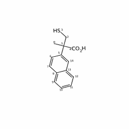 CC(CS)(C(=O)O)c1ccc2ccccc2c1